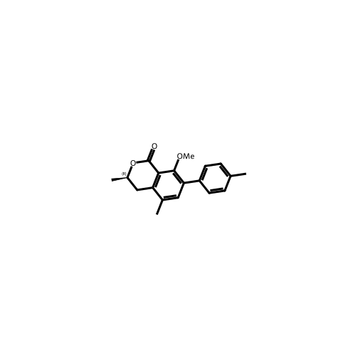 COc1c(-c2ccc(C)cc2)cc(C)c2c1C(=O)O[C@H](C)C2